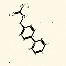 NC(=O)OCc1ccc(-c2ccccc2)cc1